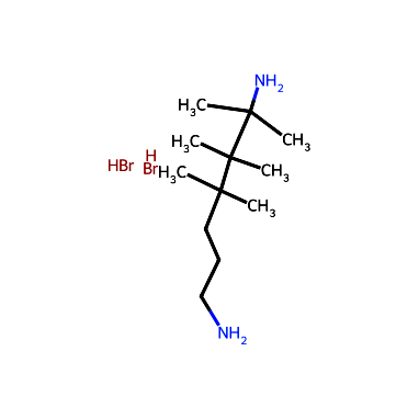 Br.Br.CC(C)(N)C(C)(C)C(C)(C)CCCN